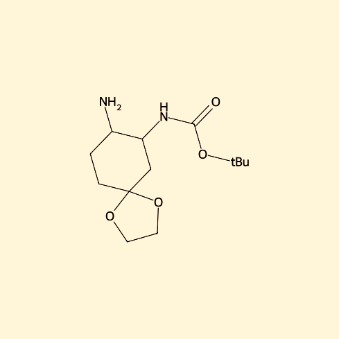 CC(C)(C)OC(=O)NC1CC2(CCC1N)OCCO2